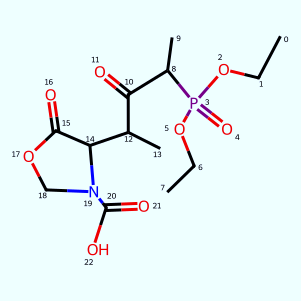 CCOP(=O)(OCC)C(C)C(=O)C(C)C1C(=O)OCN1C(=O)O